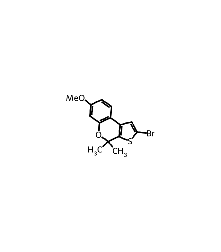 COc1ccc2c(c1)OC(C)(C)c1sc(Br)cc1-2